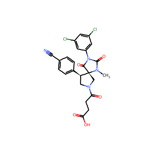 CN1C(=O)N(c2cc(Cl)cc(Cl)c2)C(=O)[C@]12CN(C(=O)CCC(=O)O)C[C@H]2c1ccc(C#N)cc1